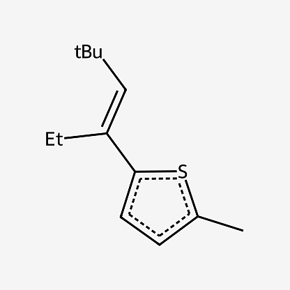 CC/C(=C\C(C)(C)C)c1ccc(C)s1